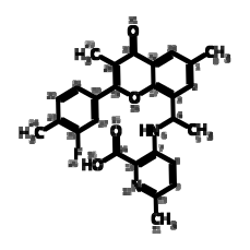 Cc1cc(C(C)Nc2ccc(C)nc2C(=O)O)c2oc(-c3ccc(C)c(F)c3)c(C)c(=O)c2c1